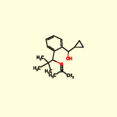 C[SiH](C)OC(c1ccccc1C(O)C1CC1)C(C)(C)C